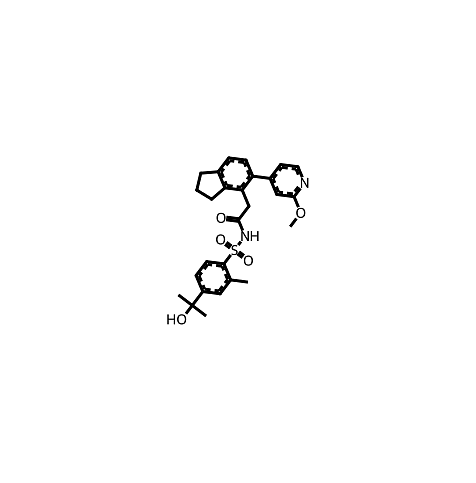 COc1cc(-c2ccc3c(c2CC(=O)NS(=O)(=O)c2ccc(C(C)(C)O)cc2C)CCC3)ccn1